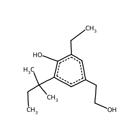 CCc1cc(CCO)cc(C(C)(C)CC)c1O